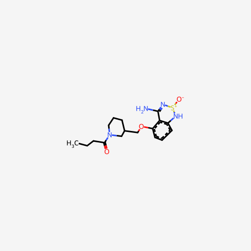 CCCC(=O)N1CCCC(COc2cccc3c2C(N)=N[S+]([O-])N3)C1